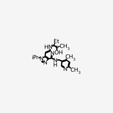 CC[C@H](Nc1cc2c(ncn2C(C)C)c(NCc2cnc(C)cc2C)n1)[C@@H](C)O